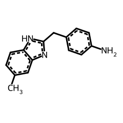 Cc1ccc2[nH]c(Cc3ccc(N)cc3)nc2c1